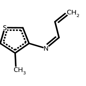 C=C/C=N\c1cscc1C